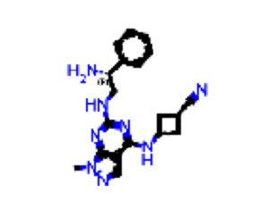 Cn1ncc2c(NC3CC(C#N)C3)nc(NC[C@H](N)c3ccccc3)nc21